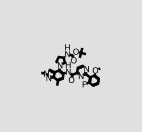 COc1cccc(F)c1-c1nccc(C(=O)Nc2cc(C)c3nn(C)cc3c2N2CC[C@@H](NC(=O)OC(C)(C)C)C2)n1